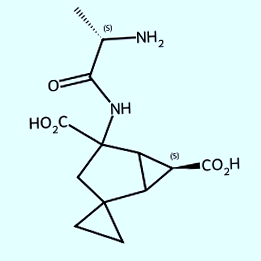 C[C@H](N)C(=O)NC1(C(=O)O)CC2(CC2)C2C1[C@H]2C(=O)O